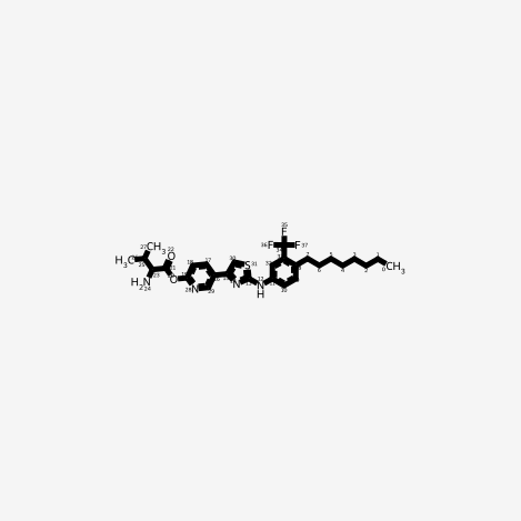 CCCCCCCCc1ccc(Nc2nc(-c3ccc(OC(=O)C(N)C(C)C)nc3)cs2)cc1C(F)(F)F